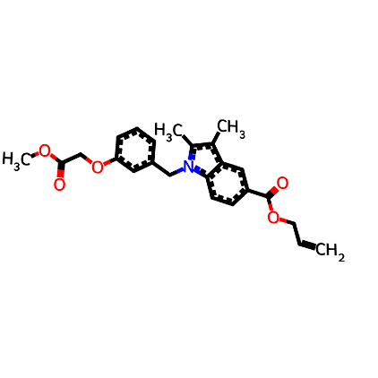 C=CCOC(=O)c1ccc2c(c1)c(C)c(C)n2Cc1cccc(OCC(=O)OC)c1